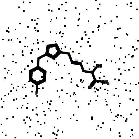 NC(=O)N(O)C/C=C/Cc1ccc(Cc2ccc(F)cc2)s1